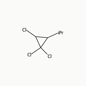 CC(C)C1C(Cl)C1(Cl)Cl